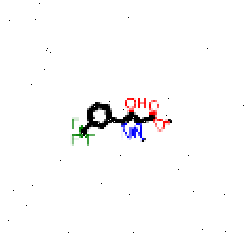 COC(=O)c1c(O)c(-c2cccc(C(F)(F)F)c2)nn1C